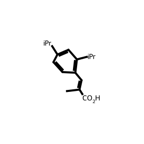 CC(=Cc1ccc(C(C)C)cc1C(C)C)C(=O)O